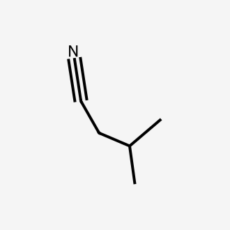 CC(C)CC#N